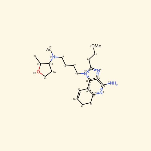 COCCc1nc2c(N)nc3c(c2n1CCCCN(C(C)=O)C1CCOC1C)C=CCC3